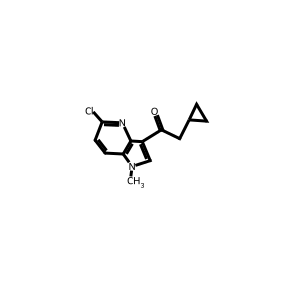 Cn1cc(C(=O)CC2CC2)c2nc(Cl)ccc21